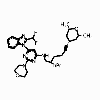 CCCC(CCC#C[C@H]1C[C@@H](C)O[C@@H](C)C1)CNc1cc(-n2c(C(F)F)nc3ccccc32)nc(N2CCOCC2)n1